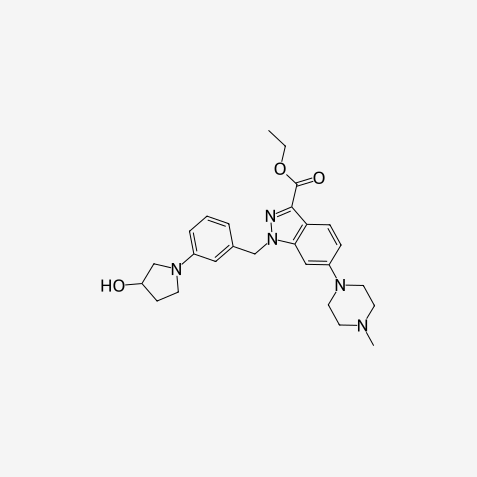 CCOC(=O)c1nn(Cc2cccc(N3CCC(O)C3)c2)c2cc(N3CCN(C)CC3)ccc12